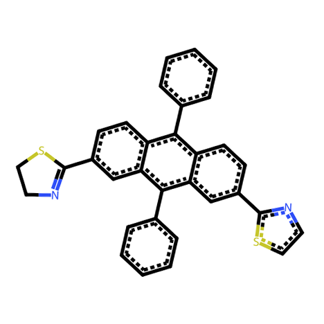 c1ccc(-c2c3ccc(C4=NCCS4)cc3c(-c3ccccc3)c3cc(-c4nccs4)ccc23)cc1